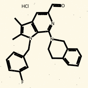 Cc1c(C)n(Cc2cccc(F)c2)c2c(N3CCc4ccccc4C3)nc(C=O)cc12.Cl